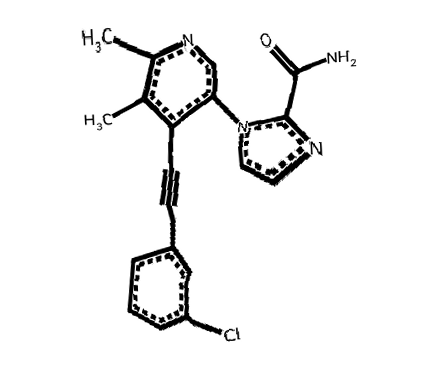 Cc1ncc(-n2ccnc2C(N)=O)c(C#Cc2cccc(Cl)c2)c1C